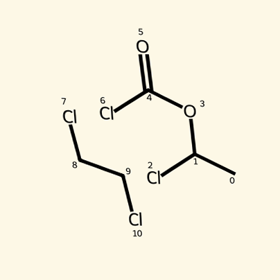 CC(Cl)OC(=O)Cl.ClCCCl